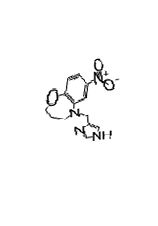 O=[N+]([O-])c1ccc2c(c1)N(Cc1c[nH]cn1)CCCO2